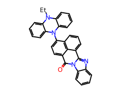 CCN1c2ccccc2N(c2ccc3c(=O)n4c5ccccc5nc4c4cccc2c34)c2ccccc21